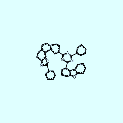 c1ccc(-c2nc(-c3ccc4ccc5ccc6nc(-c7ccccc7)oc6c5c4c3)nc(-c3cccc4oc5ccccc5c34)n2)cc1